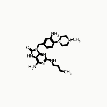 CCCCNc1nc(N)c2[nH]c(=O)n(Cc3ccc(N4CCN(C)CC4)c(N)c3)c2n1